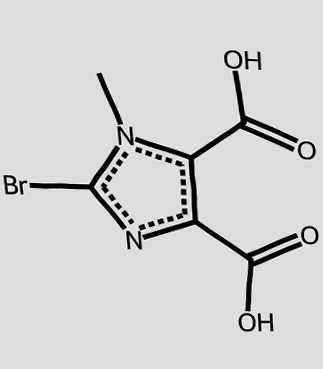 Cn1c(Br)nc(C(=O)O)c1C(=O)O